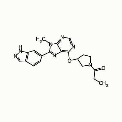 CCC(=O)N1CCC(Oc2ncnc3c2nc(-c2ccc4cn[nH]c4c2)n3C)C1